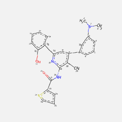 CN(C)c1cccc(-c2cc(-c3ccccc3O)nc(NC(=O)c3cccs3)c2C#N)c1